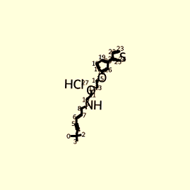 CC(C)(C)C#CC=CCNCCOCCOc1cccc(-c2ccsc2)c1.Cl